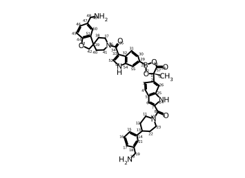 C[C@@]1(c2ccc3cc(C(=O)N4CCC(c5cccc(CN)c5)CC4)[nH]c3c2)OB(c2ccc3c(C(=O)N4CCC5(CC4)COc4ccc(CN)cc45)c[nH]c3c2)OC1=O